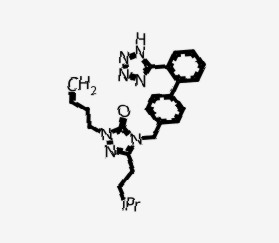 C=CCCn1nc(CCC(C)C)n(Cc2ccc(-c3ccccc3-c3nnn[nH]3)cc2)c1=O